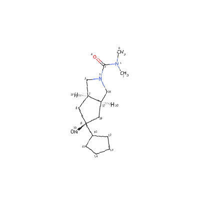 CN(C)C(=O)N1C[C@@H]2C[C@@](N=O)(C3CCCC3)C[C@@H]2C1